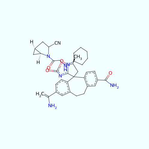 C=C(N)c1ccc2c(c1)CCc1cc(C(N)=O)ccc1C2(C[C@H](C)NCC(=O)N1C(C#N)C[C@@H]2C[C@@H]21)c1nc(=O)on1C1CCCCC1